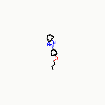 CCCCOc1ccc(-n2nc3ccccc3n2)cc1